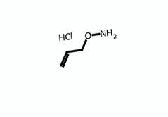 C=CCON.Cl